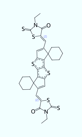 CCN1C(=O)/C(=C/C2=Cc3sc4c5c(sc4c3C23CCCCC3)C=C(/C=C2\SC(=S)N(CC)C2=O)C52CCCCC2)SC1=S